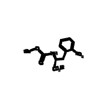 CCOC(=O)[C@H](Cc1ccccc1[N+](=O)[O-])NC(=O)OC(C)(C)C